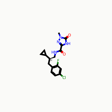 Cn1nc(C(=O)NC[C@@H](Cc2ccc(Cl)cc2F)C2CC2)[nH]c1=O